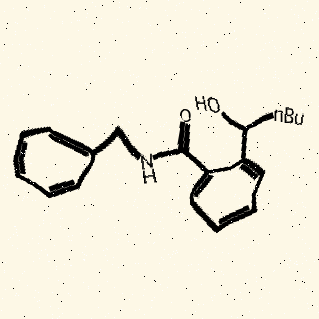 CCCCC(O)c1ccccc1C(=O)NCc1ccccc1